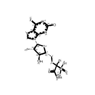 CCC(OC[C@H]1O[C@@H](n2cnc3c(F)nc(Cl)nc32)[C@@H](F)[C@@H]1O)(C(=O)NC)P(=O)(O)O